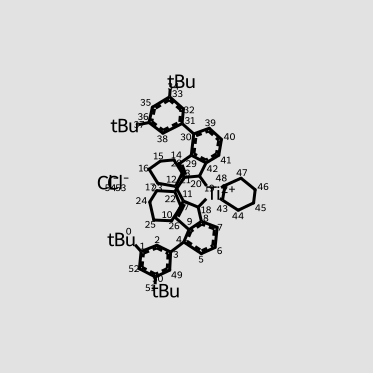 CC(C)(C)c1cc(-c2cccc3c2C=C(C2CCCCC2)[CH]3[Ti+2]2([CH]3C(C4CCCCC4)=Cc4c(-c5cc(C(C)(C)C)cc(C(C)(C)C)c5)cccc43)[CH]3CCCC[CH]32)cc(C(C)(C)C)c1.[Cl-].[Cl-]